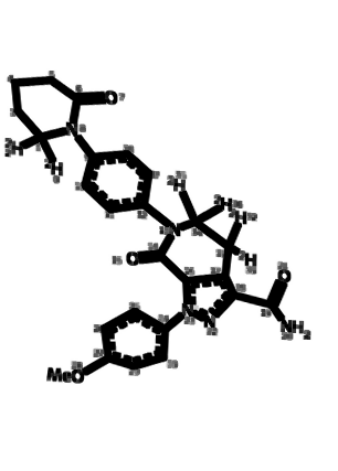 [2H]C1([2H])CCCC(=O)N1c1ccc(N2C(=O)c3c(c(C(N)=O)nn3-c3ccc(OC)cc3)C([2H])([2H])C2([2H])[2H])cc1